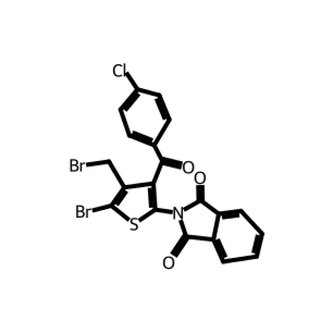 O=C(c1ccc(Cl)cc1)c1c(N2C(=O)c3ccccc3C2=O)sc(Br)c1CBr